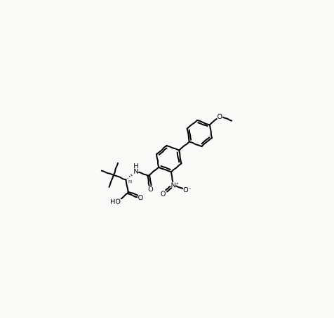 COc1ccc(-c2ccc(C(=O)N[C@H](C(=O)O)C(C)(C)C)c([N+](=O)[O-])c2)cc1